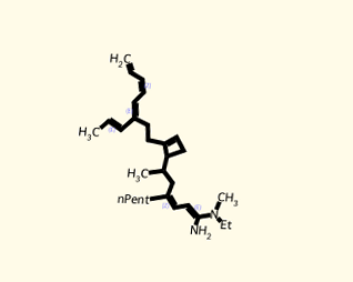 C=C\C=C/C=C(/C=C/C)CCC1=CCC1C(C)C/C(=C\C=C(/N)N(C)CC)CCCCC